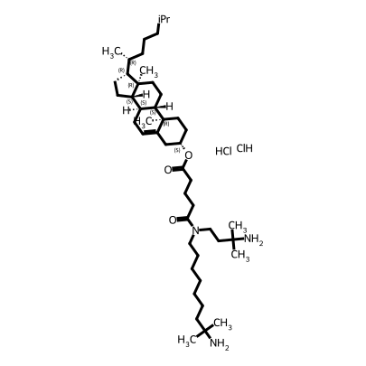 CC(C)CCC[C@@H](C)[C@H]1CC[C@H]2[C@@H]3CC=C4C[C@@H](OC(=O)CCCC(=O)N(CCCCCCCC(C)(C)N)CCC(C)(C)N)CC[C@]4(C)[C@H]3CC[C@]12C.Cl.Cl